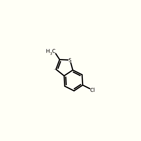 Cc1[c]c2ccc(Cl)cc2s1